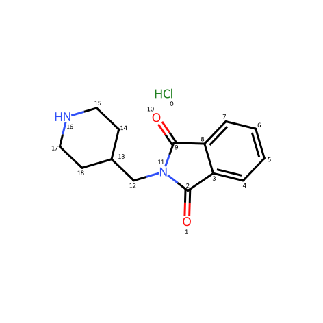 Cl.O=C1c2ccccc2C(=O)N1CC1CCNCC1